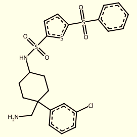 NCC1(c2cccc(Cl)c2)CCC(NS(=O)(=O)c2ccc(S(=O)(=O)c3ccccc3)s2)CC1